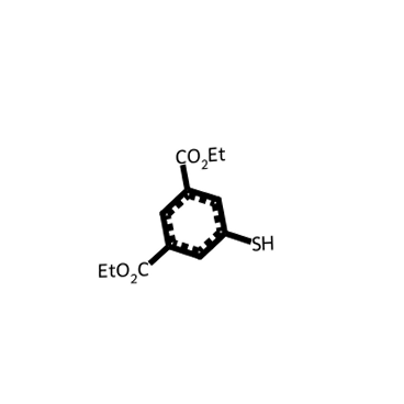 CCOC(=O)c1cc(S)cc(C(=O)OCC)c1